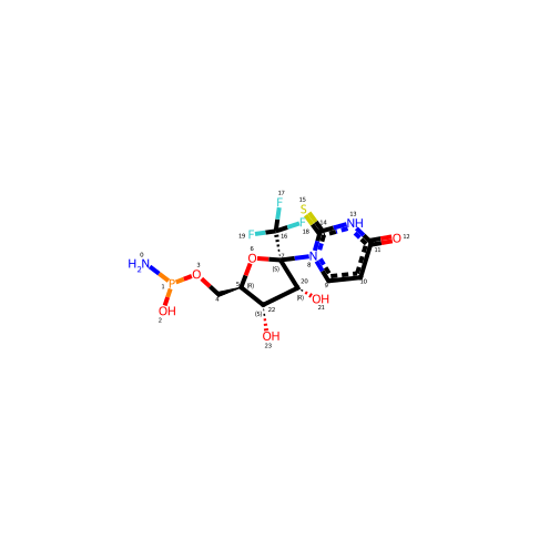 NP(O)OC[C@H]1O[C@](n2ccc(=O)[nH]c2=S)(C(F)(F)F)[C@H](O)[C@@H]1O